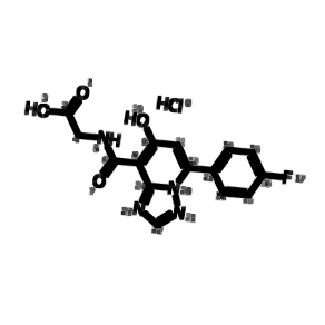 Cl.O=C(O)CNC(=O)c1c(O)cc(-c2ccc(F)cc2)n2ncnc12